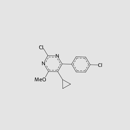 COc1nc(Cl)nc(-c2ccc(Cl)cc2)c1C1CC1